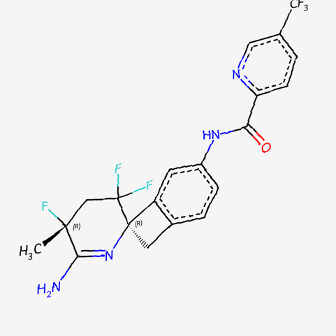 C[C@@]1(F)CC(F)(F)[C@]2(Cc3ccc(NC(=O)c4ccc(C(F)(F)F)cn4)cc32)N=C1N